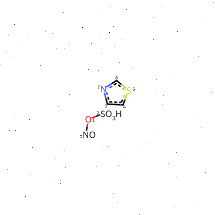 O=NOS(=O)(=O)O.c1cscn1